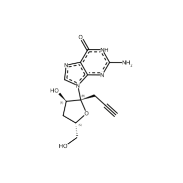 C#CC[C@@]1(n2cnc3c(=O)[nH]c(N)nc32)O[C@H](CO)C[C@H]1O